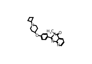 Cn1c(-c2ccc(OC3CCN(C4CCC4)CC3)cc2)nc2ncccc2c1=O